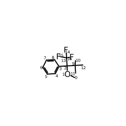 COC(c1ccccc1)(C(C)(C)C)C(F)(F)F